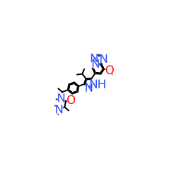 COc1cc(-c2[nH]nc(-c3ccc(C(C)N(C)C(=O)C(C)N(C)C)cc3)c2C(C)C)cn2ncnc12